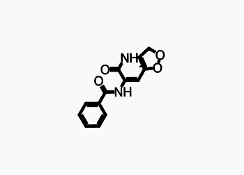 NC(=O)C(=CC1=CCOO1)NC(=O)c1ccccc1